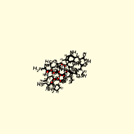 CC[C@H](C)[C@H](NC(=O)[C@@H]1CCCN1C(=O)[C@@H]1CCCN1C(=O)[C@@H](NC(=O)[C@H](CO)NC(=O)[C@H](CCCCN)NC(=O)[C@@H](NC(=O)[C@H](C)NC(=O)[C@H](CCCNC(=N)N)NC(=O)[C@@H]1CCCN1C(=O)[C@@H](N)CS)[C@@H](C)O)[C@@H](C)CC)C(=O)N[C@@H](CS)C(=O)N[C@@H](Cc1ccccc1)C(=O)O